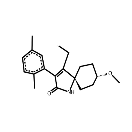 [CH2]CC1=C(c2cc(C)ccc2C)C(=O)N[C@]12CC[C@@H](OC)CC2